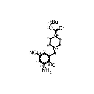 CC(C)(C)OC(=O)N1CCN(Cc2cc(C#N)cc(N)c2Cl)CC1